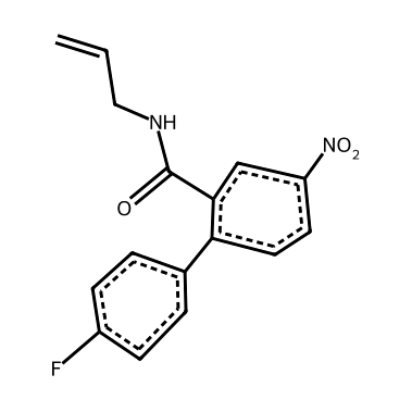 C=CCNC(=O)c1cc([N+](=O)[O-])ccc1-c1ccc(F)cc1